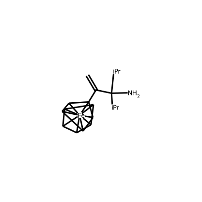 C=C(C(N)(C(C)C)C(C)C)[C]12[CH]3[CH]4[CH]5[CH]1[Fe]45321678[CH]2[CH]1[CH]6[CH]7[CH]28